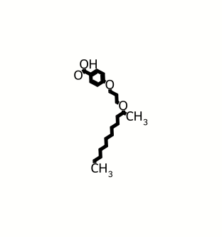 CCCCCCCCCCC(C)OCCCOc1ccc(C(=O)O)cc1